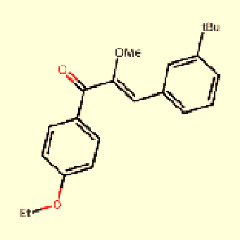 CCOc1ccc(C(=O)C(=Cc2cccc(C(C)(C)C)c2)OC)cc1